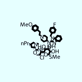 CCC[C@@H]1C[C@@H](C(=O)N[C@@H]([C@H]2O[C@H](SC)[C@H](O)[C@@H](O)[C@H]2O)[C@H](C)Cl)N(C)C1.COc1ccc(CCN2CCC(Nc3nc4ccccc4n3Cc3ccc(F)cc3)CC2)cc1